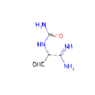 N=C(N)C([C]=O)NC(N)=O